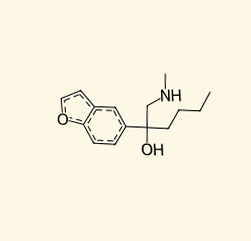 CCCCC(O)(CNC)c1ccc2occc2c1